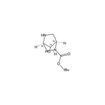 CC(C)(C)OC(=O)N1C[C@H]2NC[C@@H]1[C@H]2O